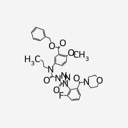 CCCN(C(=O)n1nnn(-c2c(F)cccc2C(=O)N2CCOCC2)c1=O)c1ccc(OC)c(C(=O)OCc2ccccc2)c1